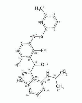 Cc1cccc(SNc2ccc(F)c(C(=O)c3c[nH]c4ncnc(NC(C)C)c34)c2F)n1